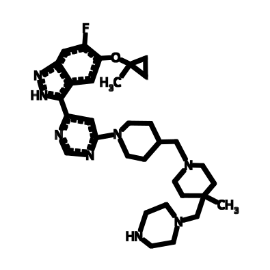 CC1(CN2CCNCC2)CCN(CC2CCN(c3cc(-c4[nH]nc5cc(F)c(OC6(C)CC6)cc45)ncn3)CC2)CC1